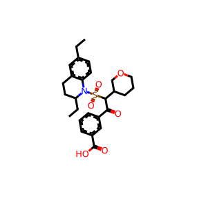 CCc1ccc2c(c1)CCC(CC)N2S(=O)(=O)C(C(=O)c1cccc(C(=O)O)c1)C1CCCOC1